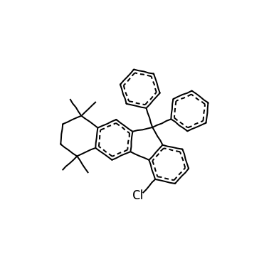 CC1(C)CCC(C)(C)c2cc3c(cc21)-c1c(Cl)cccc1C3(c1ccccc1)c1ccccc1